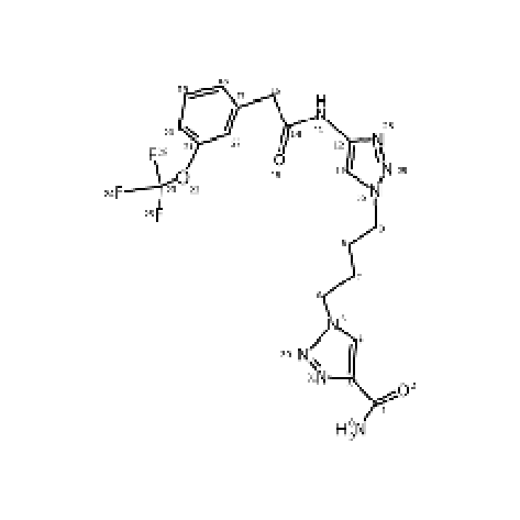 NC(=O)c1cn(CCCCn2cc(NC(=O)Cc3cccc(OC(F)(F)F)c3)nn2)nn1